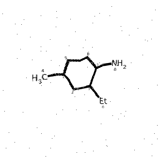 CCC1CC(C)CCC1N